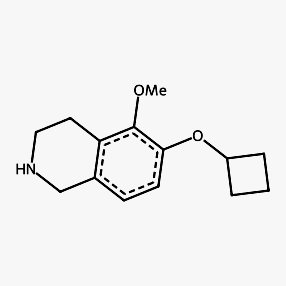 COc1c(OC2CCC2)ccc2c1CCNC2